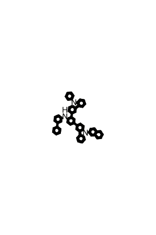 c1ccc(-c2cccc(Nc3ccc(-c4ccc5c(c4)c4ccccc4n5-c4ccc5ccccc5c4)cc3-c3ccc4c(c3)c3ccccc3n4-c3ccccc3)c2)cc1